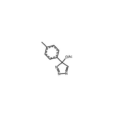 CC(=O)OC1(c2ccc(C)cc2)C=NN=N1